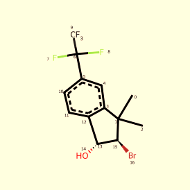 CC1(C)c2cc(C(F)(F)C(F)(F)F)ccc2[C@@H](O)[C@@H]1Br